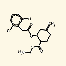 C=C1CCC(C(=O)OCC)C(OC(=O)Cc2c(Cl)cccc2Cl)C1